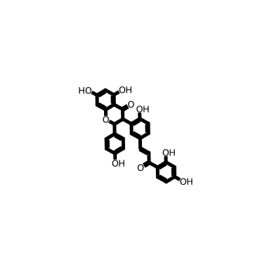 O=C(/C=C/c1ccc(O)c(C2C(=O)c3c(O)cc(O)cc3OC2c2ccc(O)cc2)c1)c1ccc(O)cc1O